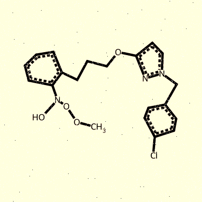 COON(O)c1ccccc1CCCOc1ccn(Cc2ccc(Cl)cc2)n1